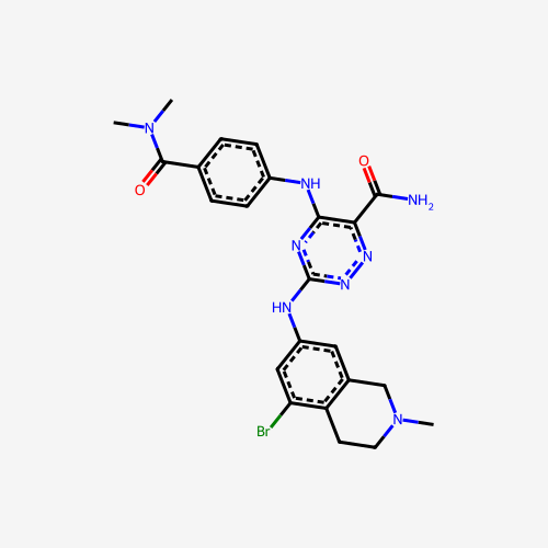 CN1CCc2c(Br)cc(Nc3nnc(C(N)=O)c(Nc4ccc(C(=O)N(C)C)cc4)n3)cc2C1